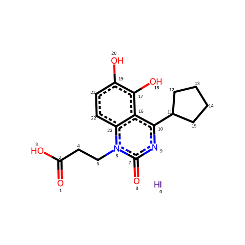 I.O=C(O)CCn1c(=O)nc(C2CCCC2)c2c(O)c(O)ccc21